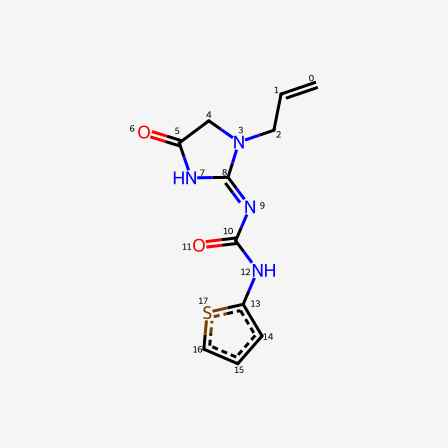 C=CCN1CC(=O)NC1=NC(=O)Nc1cccs1